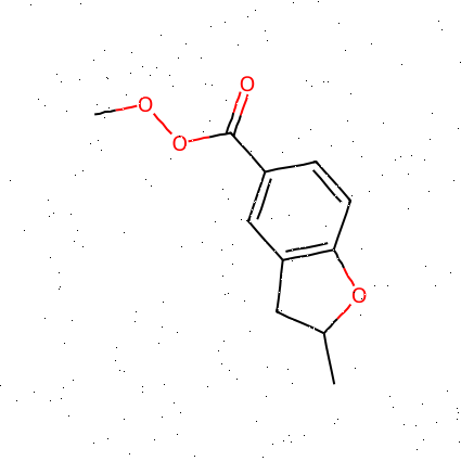 COOC(=O)c1ccc2c(c1)CC(C)O2